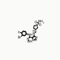 NS(=O)(=O)N1CC[C@H](CNc2nonc2C(=NO)Nc2ccc(F)c(Br)c2)C1